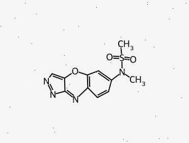 CN(c1ccc2nc3nncc-3oc2c1)S(C)(=O)=O